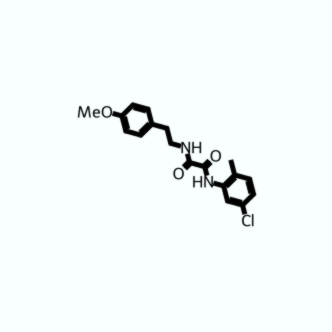 COc1ccc(CCNC(=O)C(=O)Nc2cc(Cl)ccc2C)cc1